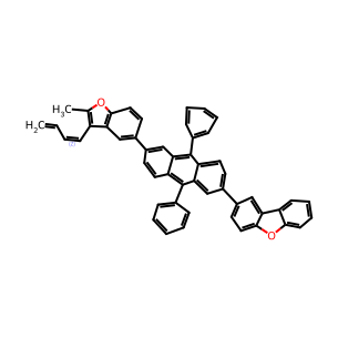 C=C/C=C\c1c(C)oc2ccc(-c3ccc4c(-c5ccccc5)c5cc(-c6ccc7oc8ccccc8c7c6)ccc5c(-c5ccccc5)c4c3)cc12